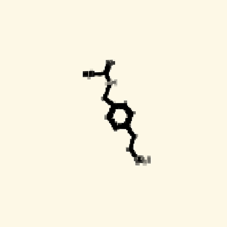 N=C(N)NCc1ccc(CCC(=O)O)cc1